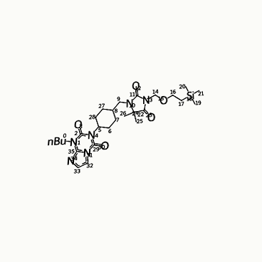 CCCCn1c(=O)n(C2CCC(CN3C(=O)N(COCC[Si](C)(C)C)C(=O)C3(C)C)CC2)c(=O)n2ccnc12